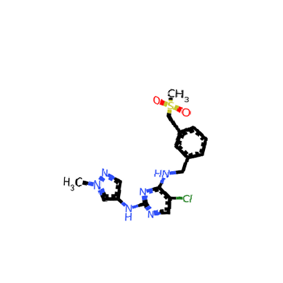 Cn1cc(Nc2ncc(Cl)c(NCc3cccc(CS(C)(=O)=O)c3)n2)cn1